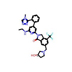 CCNc1cc(-c2ccccc2-c2nncn2C)cc(N2Cc3c(cc(CN4CC[C@@H](O)C4)cc3C(F)(F)F)C2=O)n1